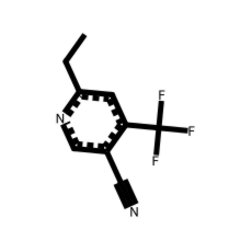 CCc1cc(C(F)(F)F)c(C#N)cn1